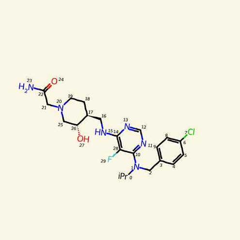 CC(C)N(Cc1ccc(Cl)cc1)c1ncnc(NC[C@@H]2CCN(CC(N)=O)C[C@H]2O)c1F